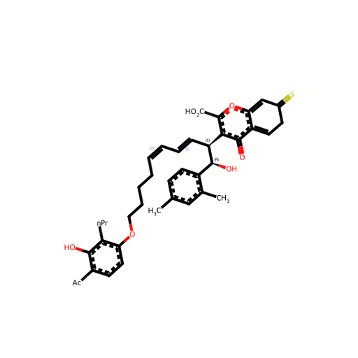 CCCc1c(OCCCC/C=C\C=C\[C@@H](c2c(C(=O)O)oc3c(c2=O)=CCC(=S)C=3)[C@@H](O)c2ccc(C)cc2C)ccc(C(C)=O)c1O